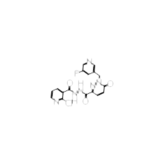 O=C(NNC(=O)c1cccnc1Cl)c1ccc(=O)n(Cc2cncc(F)c2)n1